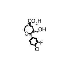 O=C(O)N1CCO[C@@H](c2ccc(Cl)c(F)c2)[C@H](CO)C1